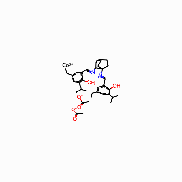 CC(=O)[O-].CC(=O)[O-].CCc1cc(C=NC2CC3CCC2(N=Cc2cc(CC)cc(C(C)C)c2O)C3)c(O)c(C(C)C)c1.[Co+2]